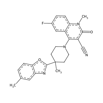 Cc1ccc2oc(C3(C)CCN(c4c(C#N)c(=O)n(C)c5ccc(F)cc45)CC3)nc2c1